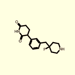 O=C1CCC(c2cccc(CC3(F)CCNCC3)c2)C(=O)N1